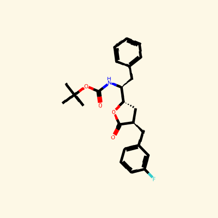 CC(C)(C)OC(=O)N[C@@H](Cc1ccccc1)[C@@H]1C[C@@H](Cc2cccc(F)c2)C(=O)O1